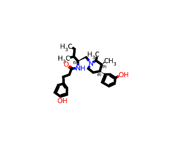 CCC(C)[C@@H](CN1CC[C@@H](c2cccc(O)c2)[C@@H](C)C1C)NC(=O)CCc1ccc(O)cc1